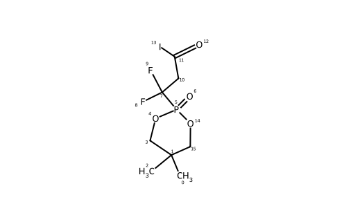 CC1(C)COP(=O)(C(F)(F)CC(=O)I)OC1